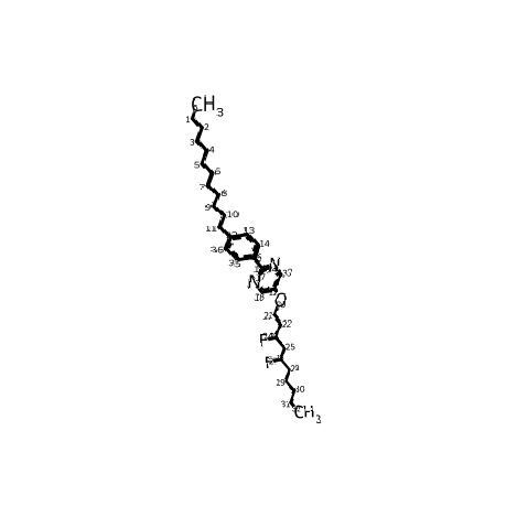 CCCCCCCCCCCCc1ccc(-c2ncc(OCCC(F)CC(F)CCCCC)cn2)cc1